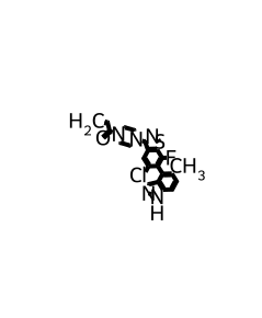 C=CC(=O)N1CCN(c2nsc3c(F)c(-c4c(C)ccc5[nH]ncc45)c(Cl)cc23)CC1